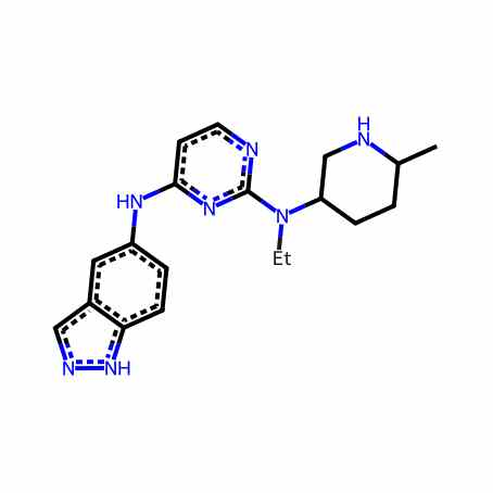 CCN(c1nccc(Nc2ccc3[nH]ncc3c2)n1)C1CCC(C)NC1